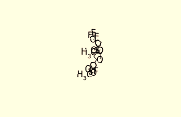 CC1(S(=O)(=O)c2cccc(OC(F)(F)F)c2)CCOC(c2ccc(S(C)(=O)=O)c(F)c2)C1